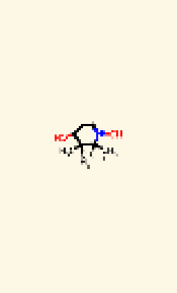 CC1(C)C(O)CC=[N+](O)C1(C)C